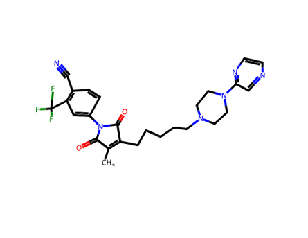 CC1=C(CCCCCN2CCN(c3cnccn3)CC2)C(=O)N(c2ccc(C#N)c(C(F)(F)F)c2)C1=O